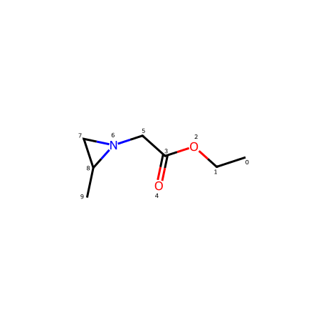 CCOC(=O)CN1CC1C